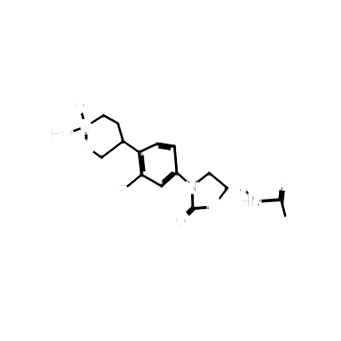 CC(=S)NC[C@H]1CN(c2ccc(C3CCS(O)(O)OC3)c(F)c2)C(=O)O1